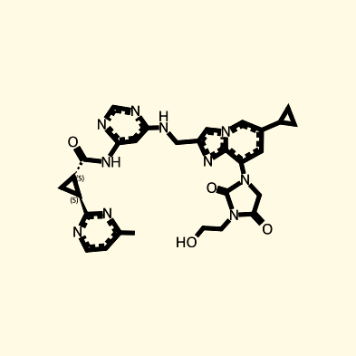 Cc1ccnc([C@H]2C[C@@H]2C(=O)Nc2cc(NCc3cn4cc(C5CC5)cc(N5CC(=O)N(CCO)C5=O)c4n3)ncn2)n1